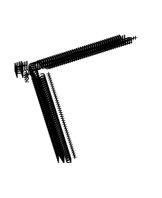 O.O.O.O.O.O.O.[Na+].[Na+].[Na+].[Na+].[Na+].[Na+].[Na+].[Na+].[Na+].[Na+].[Na+].[Na+].[Na+].[Na+].[Na+].[Na+].[Na+].[Na+].[Na+].[Na+].[Na+].[Na+].[Na+].[Na+].[Na+].[Na+].[Na+].[Na+].[Na+].[Na+].[Na+].[Na+].[Na+].[Na+].[Na+].[Na+].[Na+].[Na+].[Na+].[Na+].[Na+].[Na+].[Na+].[Na+].[Na+].[Na+].[Na+].[Na+].[Na+].[Na+].[Na+].[Na+].[Na+].[Na+].[Na+].[Na+].[Na+].[Na+].[Na+].[Na+].[Na+].[Na+].[Na+].[Na+].[Na+].[Na+].[Na+].[Na+].[Na+].[Na+].[Na+].[Na+].[Na+].[Na+].[Na+].[Na+].[Na+].[Na+].[Na+].[Na+].[Na+].[Na+].[Na+]